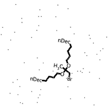 CCCCCCCCCCCCCCOC(C)(CBr)OCCCCCCCCCCCCCC